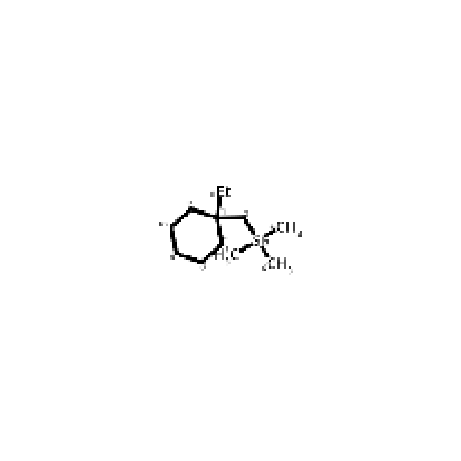 CCC1(C[Si](C)(C)C)CCCCC1